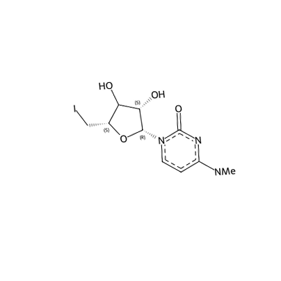 CNc1ccn([C@@H]2O[C@H](CI)C(O)[C@@H]2O)c(=O)n1